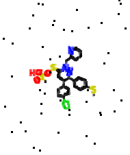 CS(=O)(=O)O.CSc1ccc(-c2nn(Cc3ccccn3)c(=S)cc2-c2ccc(Cl)cc2)cc1